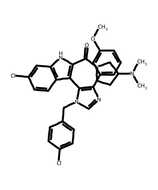 COc1cccc(-c2ncn(Cc3ccc(Cl)cc3)c2-c2c(C(=O)N3CCC(N(C)C)C3)[nH]c3cc(Cl)ccc23)c1